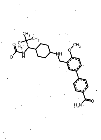 COc1ccc(-c2ccc(C(N)=O)cc2)cc1CNC1CCC(C(NC(=O)O)C(C)(C)C)CC1